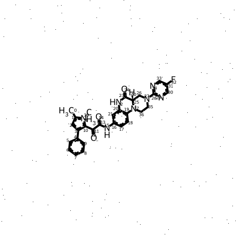 Cc1cc(-c2ccccc2)c(C(=O)C(=O)Nc2ccc3c(c2)NC(=O)[C@@H]2CN(c4ncc(F)cn4)CCN32)n1C